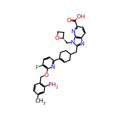 Cc1ccc(COc2nc(C3=CCC(Cc4nc5ccc(C(=O)O)nc5n4C[C@@H]4CCO4)CC3)ccc2F)c(P)c1